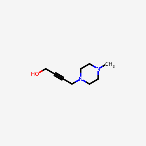 CN1CCN(CC#CCO)CC1